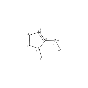 CPc1nccn1C